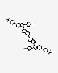 CC(C)(C)c1ccc(-c2ccc3c(c2)cc(-c2ccc(C(C)(C)C)cc2)n3-c2ccc3cc(-c4ccc5cc(-n6c(-c7ccc(C(C)(C)C)cc7)cc7cc(-c8ccc(C(C)(C)C)cc8)ccc76)ccc5c4)ccc3c2)cc1